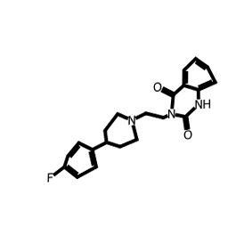 O=c1[nH]c2ccccc2c(=O)n1CCN1CCC(c2ccc(F)cc2)CC1